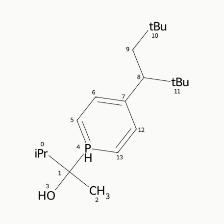 CC(C)C(C)(O)[PH]1=CC=C(C(CC(C)(C)C)C(C)(C)C)C=C1